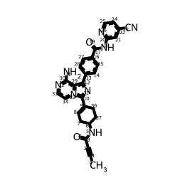 CC#CC(=O)NC1CC=C(c2nc(-c3ccc(C(=O)Nc4cc(C#N)ccn4)cc3)c3c(N)nccn23)CC1